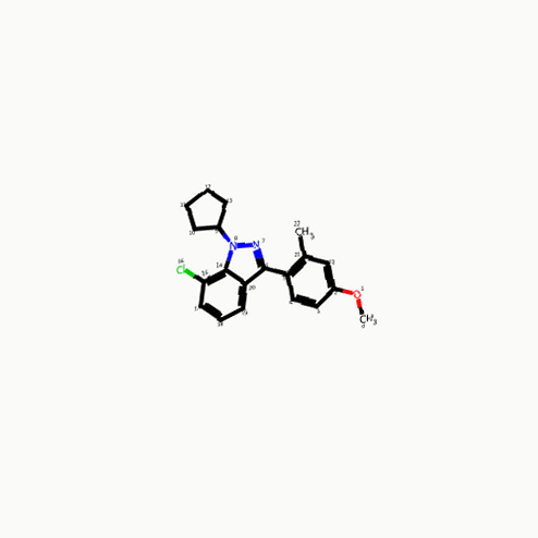 COc1ccc(-c2nn(C3CCCC3)c3c(Cl)cccc23)c(C)c1